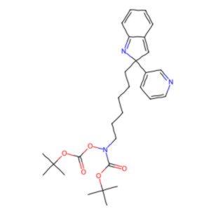 CC(C)(C)OC(=O)ON(CCCCCCC1(c2cccnc2)C=c2ccccc2=N1)C(=O)OC(C)(C)C